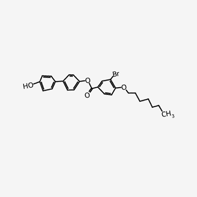 CCCCCCCOc1ccc(C(=O)Oc2ccc(-c3ccc(O)cc3)cc2)cc1Br